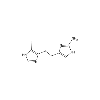 Nc1nc(C[CH]c2nc[nH]c2I)c[nH]1